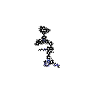 C=CCC/C=C/c1ccc2c3c1-c1ccc(-c4ccc(N(C5C=CC(C/C=C\C=C/C)=CC5)C5/C=C/C=C\C=C/C=C/C5)cc4)cc1C(C)C=3CCC=2c1cccc(-c2ccc(N(c3ccc(C4=CCC5C(=C4)C(C)(C)c4cccc6ccc(C7=CC=CCC7)c5c46)cc3)c3ccc4c(c3)C(C)(C)c3ccccc3-4)cc2)c1